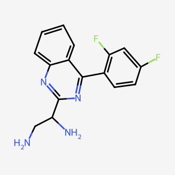 NCC(N)c1nc(-c2ccc(F)cc2F)c2ccccc2n1